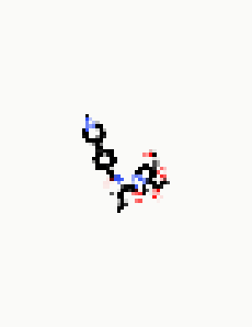 CC[C@H](C)[C@H](NC(=O)c1ccc(C2CCN(C)CC2)cc1)C(=O)N1C[C@H](OC)[C@H]2OCC(=O)[C@H]21